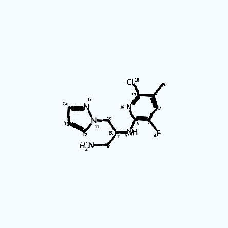 Cc1cc(F)c(N[C@@H](CN)Cn2cccn2)nc1Cl